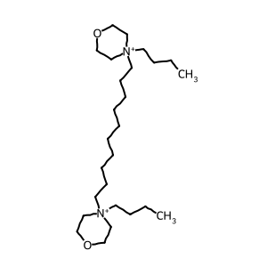 CCCC[N+]1(CCCCCCCCCC[N+]2(CCCC)CCOCC2)CCOCC1